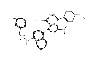 CNC1CC=C(c2cnc(N)c3c(-c4ccc(NS(=O)(=O)Cc5cccc(F)c5)c5ccccc45)nc(C(C)C)n23)CC1